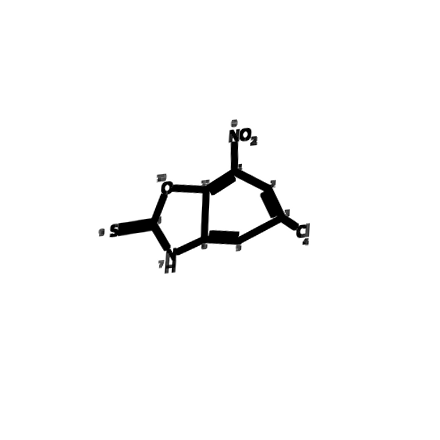 O=[N+]([O-])c1cc(Cl)cc2[nH]c(=S)oc12